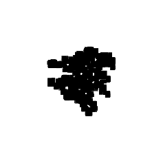 Cc1cc2c3c(c1)N(c1cc4c(cc1C)C(C)(C)CCC4(C)C)c1cc(N(c4ccc(C(C)(C)C)cc4)c4ccc(C(C)(C)C)cc4)ccc1B3N(c1ccc3c(c1)C(C)(C)CCC3(C)C)c1cc3oc4ccccc4c3cc1-2